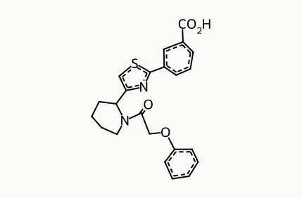 O=C(O)c1cccc(-c2nc(C3CCCCN3C(=O)COc3ccccc3)cs2)c1